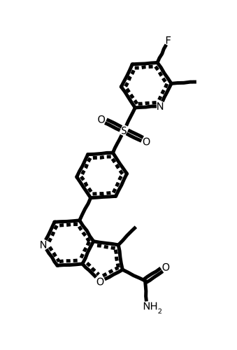 Cc1nc(S(=O)(=O)c2ccc(-c3cncc4oc(C(N)=O)c(C)c34)cc2)ccc1F